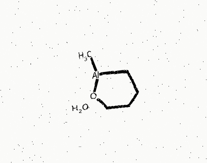 O.[CH3][Al]1[CH2]CCC[O]1